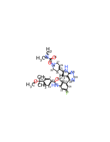 COC(C)(C)c1ccc(C(=O)Nc2cc(F)cc(-c3ncnc4[nH]c(C5=CCN(OC(=O)N(C)C)CC5)cc34)c2C)cc1